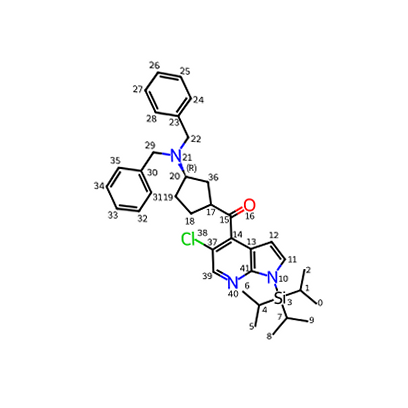 CC(C)[Si](C(C)C)(C(C)C)n1ccc2c(C(=O)C3CC[C@@H](N(Cc4ccccc4)Cc4ccccc4)C3)c(Cl)cnc21